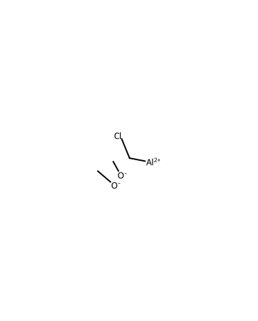 C[O-].C[O-].[Al+2][CH2]Cl